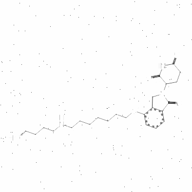 O=C1CCC(N2Cc3c(SCCCCCCCNCCCCO)cccc3C2=O)C(=O)N1